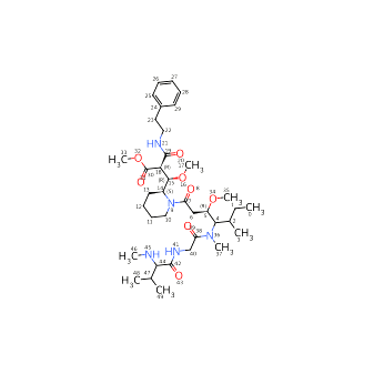 CCC(C)C([C@@H](CC(=O)N1CCCC[C@H]1[C@H](OC)[C@H](C(=O)NCCc1ccccc1)C(=O)OC)OC)N(C)C(=O)CNC(=O)C(NC)C(C)C